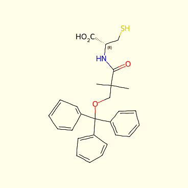 CC(C)(COC(c1ccccc1)(c1ccccc1)c1ccccc1)C(=O)N[C@@H](CS)C(=O)O